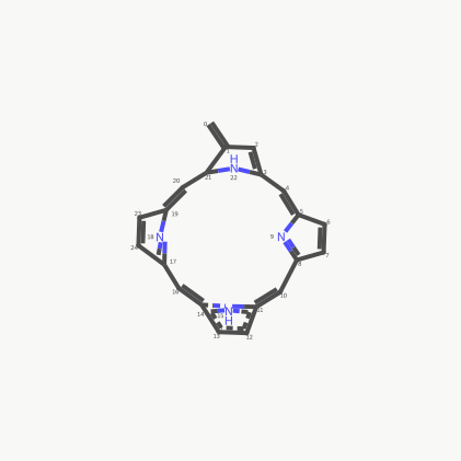 C=C1C=C2C=C3C=CC(=N3)C=c3ccc([nH]3)=CC3=NC(=CC1N2)C=C3